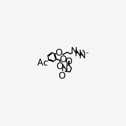 CC(=O)c1ccc(OCCCN=[N+]=[N-])c(C(=O)ON2C(=O)CCC2=O)c1